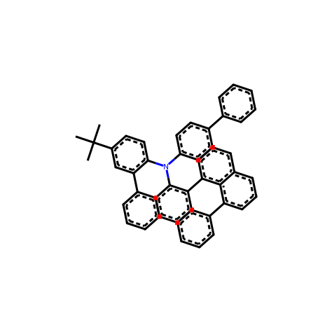 CC(C)(C)c1ccc(N(c2ccc(-c3ccccc3)cc2)c2ccccc2-c2cccc3cccc(-c4ccccc4)c23)c(-c2ccccc2)c1